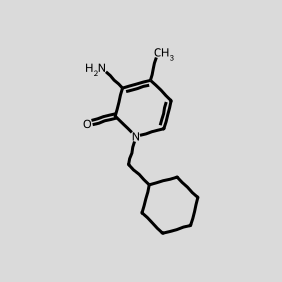 Cc1ccn(CC2CCCCC2)c(=O)c1N